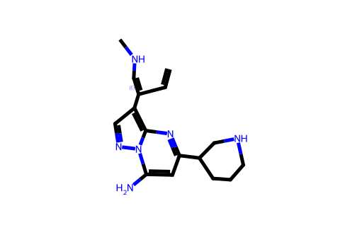 C=C/C(=C\NC)c1cnn2c(N)cc(C3CCCNC3)nc12